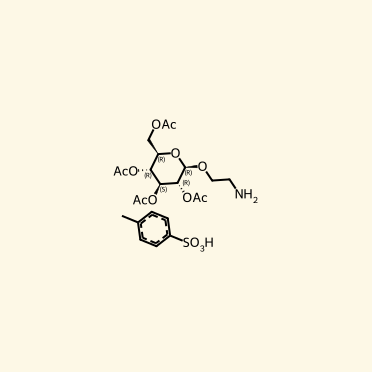 CC(=O)OC[C@H]1O[C@@H](OCCN)[C@H](OC(C)=O)[C@@H](OC(C)=O)[C@@H]1OC(C)=O.Cc1ccc(S(=O)(=O)O)cc1